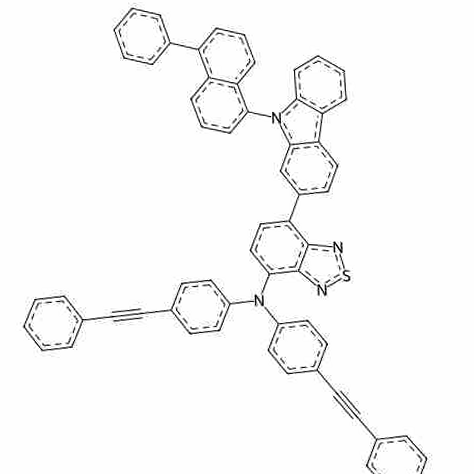 C(#Cc1ccc(N(c2ccc(C#Cc3ccccc3)cc2)c2ccc(-c3ccc4c5ccccc5n(-c5cccc6c(-c7ccccc7)cccc56)c4c3)c3nsnc23)cc1)c1ccccc1